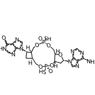 Nc1ncnc2c1ncn2[C@H]1C[C@@H]2OP(=O)(S)OC[C@H]3C[C@@H](n4cnc5c(=O)[nH]cnc54)[C@@H]3COP(=O)(S)OC[C@H]2O1